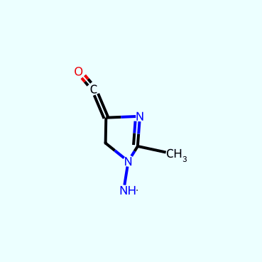 CC1=NC(=C=O)CN1[NH]